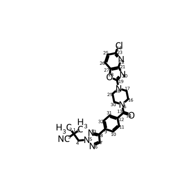 CC(C)(C#N)Cn1ncc(-c2ccc(C(=O)N3CCN(c4nc5nc(Cl)ccc5o4)CC3)cc2)n1